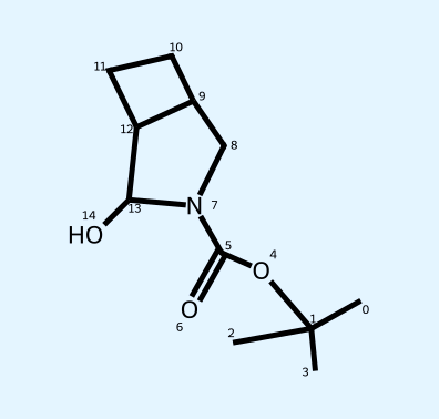 CC(C)(C)OC(=O)N1CC2CCC2C1O